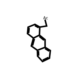 CC(=O)Cc1cccc2cc3ccccc3cc12